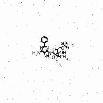 CC1(C)[C@]2(O)[C@H](n3cnc4c(N)nc(-c5ccccc5)nc43)O[C@H](COS(N)(=O)=O)[C@]12O